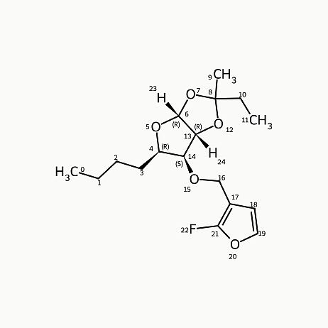 CCCC[C@H]1O[C@@H]2OC(C)(CC)O[C@@H]2[C@H]1OCc1ccoc1F